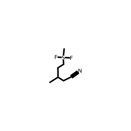 CC(CC#N)CCS(C)(F)F